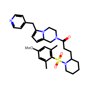 COc1cc(C)c(S(=O)(=O)N2CCCCC2CCC(=O)N2CCn3c(Cc4ccncc4)ccc3C2)c(C)c1